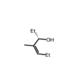 CCC=C(C)[C@@H](O)CC